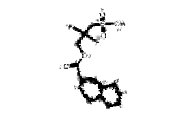 O=C(OCC(F)(F)CS(=O)(=O)O)c1ccc2ccccc2c1